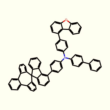 c1ccc(-c2ccc(N(c3ccc(-c4cccc5c4-c4ccccc4C54c5ccccc5-c5ccccc5-c5ccccc54)cc3)c3ccc(-c4cccc5oc6ccccc6c45)cc3)cc2)cc1